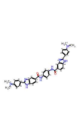 CN(C)c1ccc(-c2nc3cc(C(=O)Nc4ccc(NC(=O)c5ccc6[nH]c(-c7ccc(N(C)C)cc7)nc6c5)cc4)ccc3[nH]2)cc1